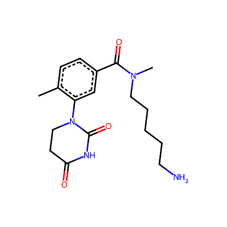 Cc1ccc(C(=O)N(C)CCCCCN)cc1N1CCC(=O)NC1=O